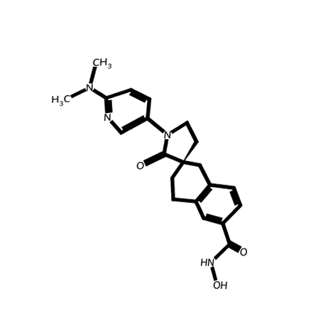 CN(C)c1ccc(N2CC[C@@]3(CCc4cc(C(=O)NO)ccc4C3)C2=O)cn1